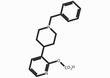 O=C(O)Oc1ncccc1C1CCN(Cc2ccccc2)CC1